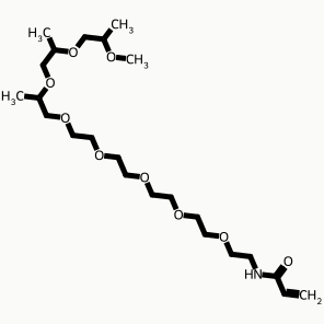 C=CC(=O)NCCOCCOCCOCCOCCOCC(C)OCC(C)OCC(C)OC